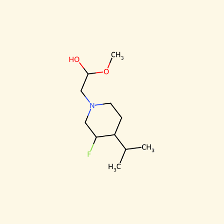 COC(O)CN1CCC(C(C)C)C(F)C1